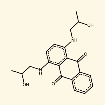 CC(O)CNc1ccc(NCC(C)O)c2c1C(=O)c1ccccc1C2=O